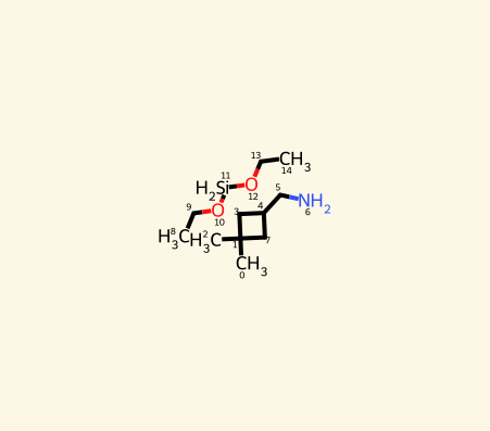 CC1(C)CC(CN)C1.CCO[SiH2]OCC